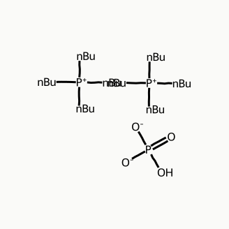 CCCC[P+](CCCC)(CCCC)CCCC.CCCC[P+](CCCC)(CCCC)CCCC.O=P([O-])([O-])O